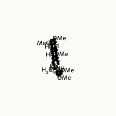 COc1ccc(Nc2nc(Nc3cc4c(cc3OC)CCN(C(Nc3ccc(OC)cc3OC)C(=O)N(C)C)CC4)ncc2Cl)c(OC)c1